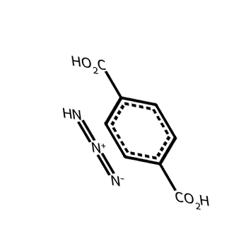 O=C(O)c1ccc(C(=O)O)cc1.[N-]=[N+]=N